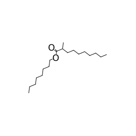 CCCCCCCCOC(=O)C(C)CCCCCCCC